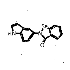 O=c1c2ccccc2[se]n1-c1ccc2[nH]ccc2c1